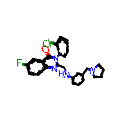 O=c1c2cc(F)ccc2nc(CNc2cccc(CN3CCCC3)c2)n1-c1ccccc1Cl